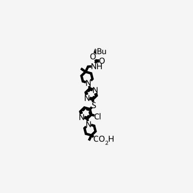 CC1(CNC(=O)OC(C)(C)C)CCN(c2cnc(Sc3ccnc(N4CCC(C)(C(=O)O)CC4)c3Cl)cn2)CC1